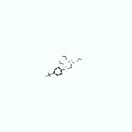 CCOP(=O)(CP(=O)(OCC)c1ccc(C(F)(F)F)cc1)OCC